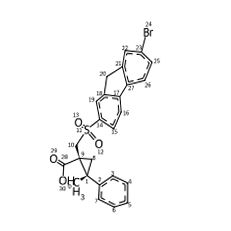 C[C@]1(c2ccccc2)C[C@@]1(CS(=O)(=O)c1ccc2c(c1)Cc1cc(Br)ccc1-2)C(=O)O